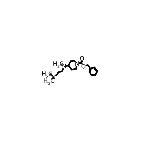 CN(C)CCCN(C)C1CCN(C(=O)OCc2ccccc2)CC1